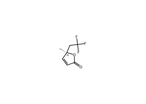 C[C@@]1(CC(F)(F)F)C=CC(=O)O1